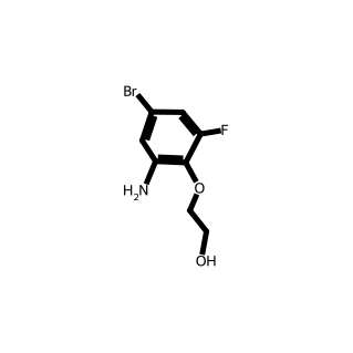 Nc1cc(Br)cc(F)c1OCCO